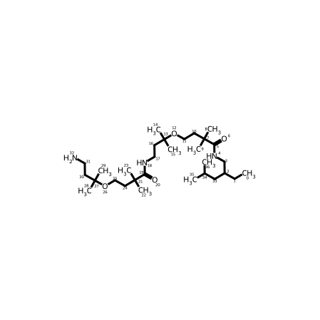 CCC(CNC(=O)C(C)(C)CCOC(C)(C)CCNC(=O)C(C)(C)CCOC(C)(C)CCN)CC(C)C